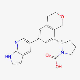 O=C(O)N1CCC[C@H]1c1cc(-c2cnc3[nH]ccc3c2)cc2c1COCC2